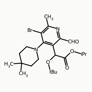 Cc1nc(C=O)c(C(OC(C)(C)C)C(=O)OC(C)C)c(N2CCC(C)(C)CC2)c1Br